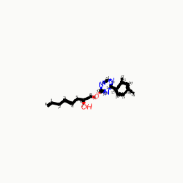 CCCCCCC(O)COc1ncnc(-c2ccc(C)cc2C)n1